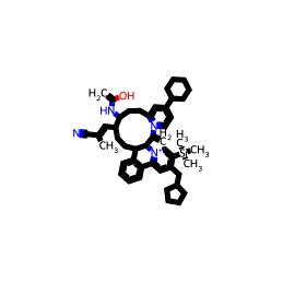 C=C(O)NC1CCc2cc(C3CCCCC3)cc[n+]2C(=C)C2C(CCC1C=C(C)C#N)c1ccccc1-c1cc(CC3CCCC3)c([Si](C)(C)C)c[n+]12